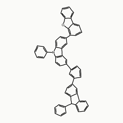 c1ccc(C2c3ccccc3-c3cc(-c4cccc(-c5ccc6c(c5)c5cc(-c7cccc8c7oc7ccccc78)ccc5n6-c5ccccc5)c4)ccc32)cc1